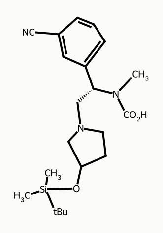 CN(C(=O)O)[C@H](CN1CCC(O[Si](C)(C)C(C)(C)C)C1)c1cccc(C#N)c1